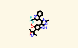 COc1cc2c(cc1-c1c(C)noc1C)[nH]c1nc(C)nc(-c3cc(C(F)(F)F)nc4ccccc34)c12